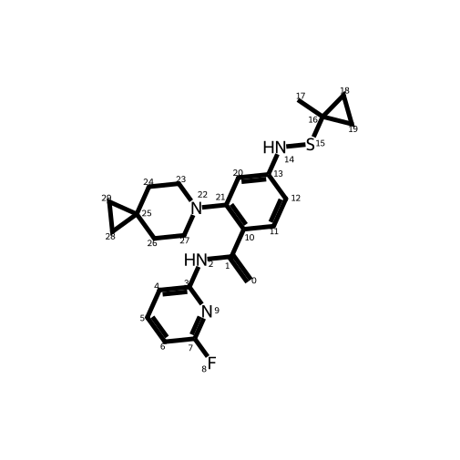 C=C(Nc1cccc(F)n1)c1ccc(NSC2(C)CC2)cc1N1CCC2(CC1)CC2